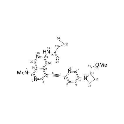 CNc1ncc(C#Cc2ccc(N3CCC3COC)cn2)c2cc(NC(=O)C3CC3)ncc12